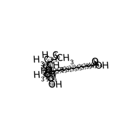 CC(C)CCC[C@@H](C)[C@H]1CC[C@H]2[C@@H]3CC=C4C[C@@H](O)CC[C@]4(C)[C@H]3C(CCCCCCCCCCCCCCCC=CC(=O)O)C[C@]12C